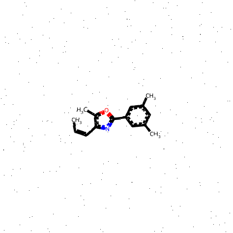 C/C=C\c1nc(-c2cc(C)cc(C)c2)oc1C